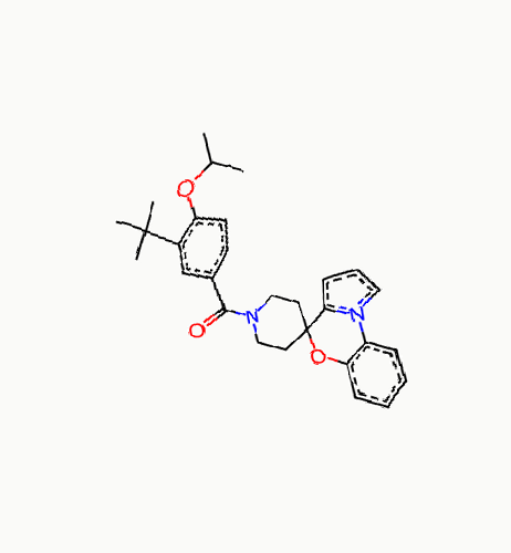 CC(C)Oc1ccc(C(=O)N2CCC3(CC2)Oc2ccccc2-n2cccc23)cc1C(C)(C)C